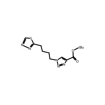 CC(C)(C)OC(=O)c1cn(CCCCc2nncs2)nn1